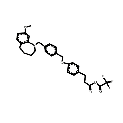 COc1ccc2c(c1)N(Cc1ccc(COc3ccc(CCC(=O)OC(=O)C(F)(F)F)cc3)cc1)CCCC2